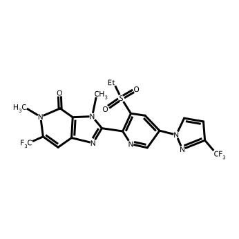 CCS(=O)(=O)c1cc(-n2ccc(C(F)(F)F)n2)cnc1-c1nc2cc(C(F)(F)F)n(C)c(=O)c2n1C